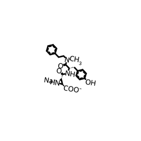 CN(CCc1ccccc1)C(=O)[C@H](Cc1ccc(O)cc1)NC(=O)[C@H]1N[C@@H]1C(=O)[O-].[Na+]